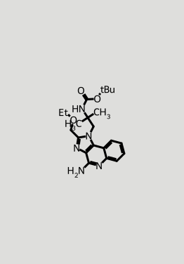 CCOCc1nc2c(N)nc3ccccc3c2n1CC(C)(C)NC(=O)OC(C)(C)C